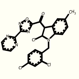 Cc1ccc2c(c1)C(C(=O)c1nc(-c3ncccn3)no1)C(Cl)N2Cc1ccc(Cl)cc1Cl